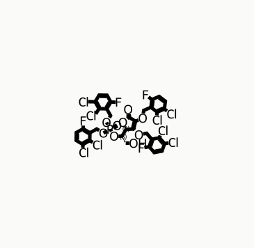 O=C1O[C@H]([C@H](CO)OP(=O)(OCc2c(F)ccc(Cl)c2Cl)OCc2c(F)ccc(Cl)c2Cl)C(OCc2c(F)ccc(Cl)c2Cl)=C1OCc1c(F)ccc(Cl)c1Cl